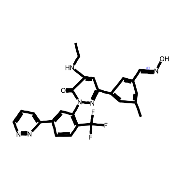 CCNc1cc(-c2cc(C)cc(/C=N/O)c2)nn(-c2cc(-c3cccnn3)ccc2C(F)(F)F)c1=O